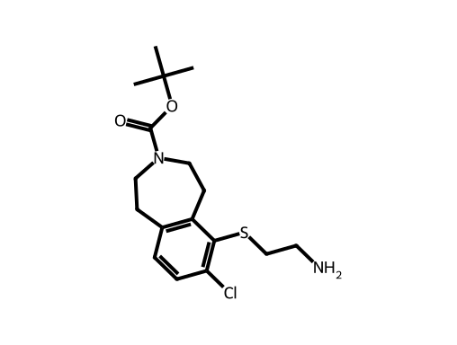 CC(C)(C)OC(=O)N1CCc2ccc(Cl)c(SCCN)c2CC1